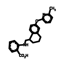 Cc1cccc(Oc2ccc3c(c2)CCCC3CNc2ccccc2C(=O)O)n1